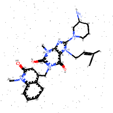 CC(C)=CCn1c(N2CCCC(N)C2)nc2c1c(=O)n(Cc1cc(=O)n(C)c3ccccc13)c(=O)n2C